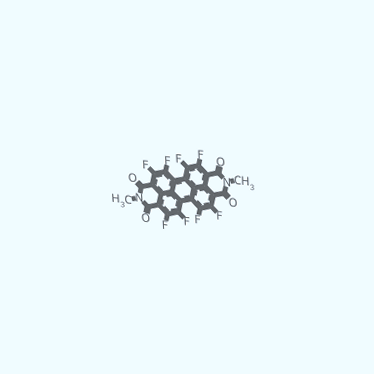 CN1C(=O)c2c(F)c(F)c3c4c(F)c(F)c5c6c(c(F)c(F)c(c7c(F)c(F)c(c2c37)C1=O)c64)C(=O)N(C)C5=O